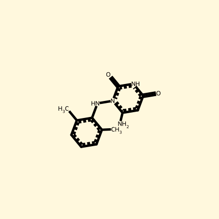 Cc1cccc(C)c1Nn1c(N)cc(=O)[nH]c1=O